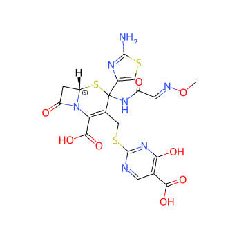 CON=CC(=O)NC1(c2csc(N)n2)S[C@H]2CC(=O)N2C(C(=O)O)=C1CSc1ncc(C(=O)O)c(O)n1